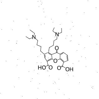 CCN(CC)CCCCc1cc(C(=O)O)c2oc3c(C(=O)O)cccc3c(=O)c2c1CCCCN(CC)CC